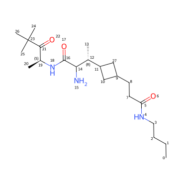 CCCCNC(=O)CCC1CC([C@@H](C)C(N)C(=O)N[C@@H](C)C(=O)C(C)(C)C)C1